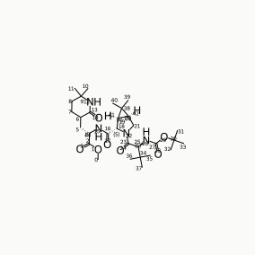 COC(=O)[C@H](CC1CCC(C)(C)NC1=O)NC(=O)[C@@H]1[C@@H]2[C@H](CN1C(=O)[C@@H](NC(=O)OC(C)(C)C)C(C)(C)C)C2(C)C